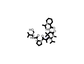 C/C(=C\[C@H](C(C)C)N(C)C(=O)[C@@H](NC(=O)C1CCCCN1C(C)C)C(C)(C)C)C(=O)N1CCC[C@H]1C(=O)N[C@H](CO)C(C)C